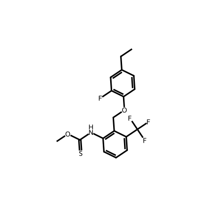 CCc1ccc(OCc2c(NC(=S)OC)cccc2C(F)(F)F)c(F)c1